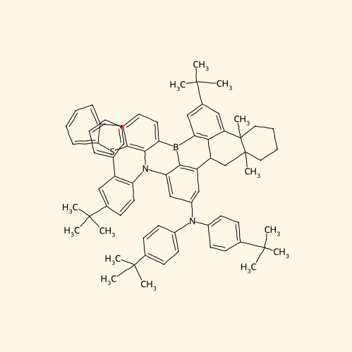 CC(C)(C)c1ccc(N(c2ccc(C(C)(C)C)cc2)c2cc3c4c(c2)N(c2ccc(C(C)(C)C)cc2-c2ccccc2)c2c(ccc5c2sc2ccccc25)B4c2cc(C(C)(C)C)cc4c2C3CC2(C)CCCCC42C)cc1